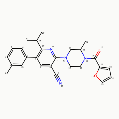 Cc1cccc(-c2cc(C#N)c(N3CCN(C(=O)c4ccco4)C(C)C3)nc2C(C)C)c1